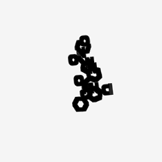 O=C(NCC1(c2ccc(Cl)cc2)CCCCC1)c1cccn2nc(C(=O)N3CCOCC3)cc12